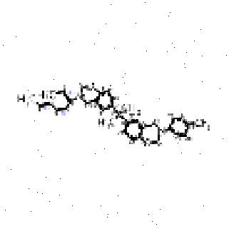 C/C=C/C=C\C(=C/C)N1COc2ccc(C(C)(C)c3ccc4c(c3)CN(c3ccc(C(F)(F)F)cc3)CO4)cc2C1